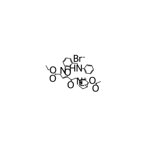 CCOC(=O)c1cc(C(=O)C[N+]23CCC(CC2)C(OC(C)=O)C3)on1.[Br-].c1ccc(CNc2ccccc2)cc1